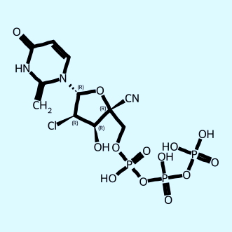 C=C1NC(=O)C=CN1[C@@H]1O[C@](C#N)(COP(=O)(O)OP(=O)(O)OP(=O)(O)O)[C@@H](O)[C@H]1Cl